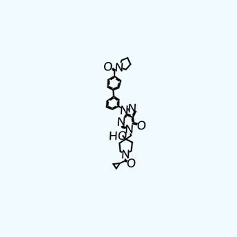 O=C(c1ccc(-c2cccc(-n3ncc4c(=O)n(CC5(O)CCN(C(=O)C6CC6)CC5)cnc43)c2)cc1)N1CCCC1